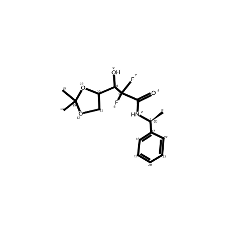 C[C@H](NC(=O)C(F)(F)C(O)C1COC(C)(C)O1)c1ccccc1